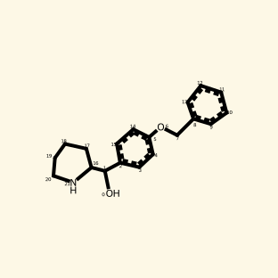 OC(c1ccc(OCc2ccccc2)cc1)C1CCCCN1